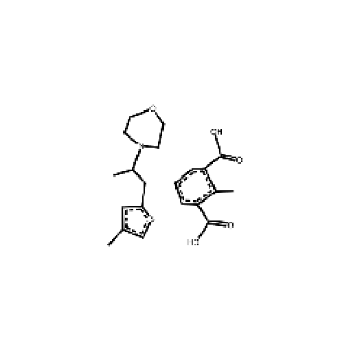 Cc1c(C(=O)O)cccc1C(=O)O.Cc1csc(CC(C)N2CCOCC2)c1